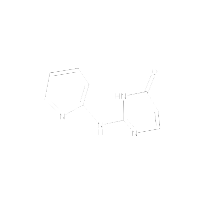 O=c1ccnc(Nc2ccccn2)[nH]1